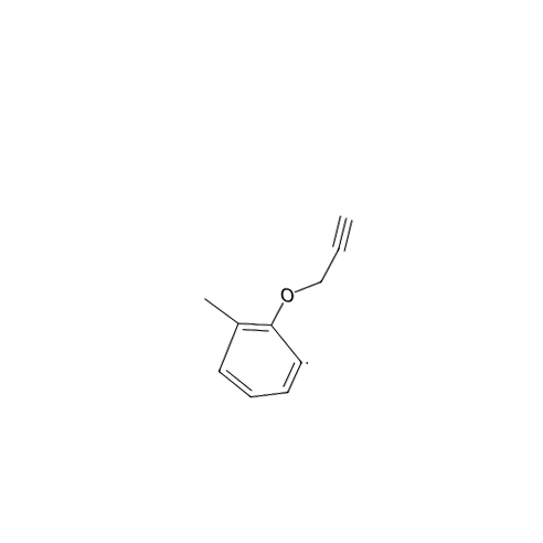 C#CCOc1[c]cccc1C